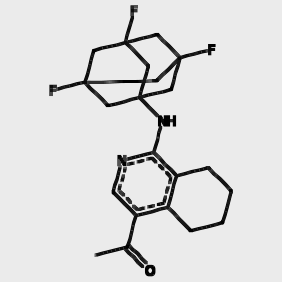 CC(=O)c1cnc(NC23CC4(F)CC(F)(CC(F)(C4)C2)C3)c2c1CCCC2